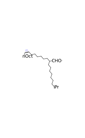 CCCCCCCC/C=C\CCCCCCC([C]=O)CCCCCCCC(C)C